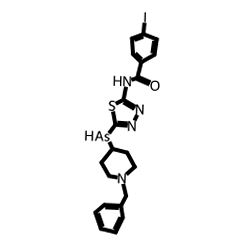 O=C(Nc1nnc([AsH]C2CCN(Cc3ccccc3)CC2)s1)c1ccc(I)cc1